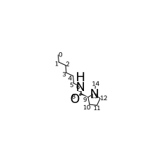 CCCCCCNC(=O)[C@@H]1CCCN1C